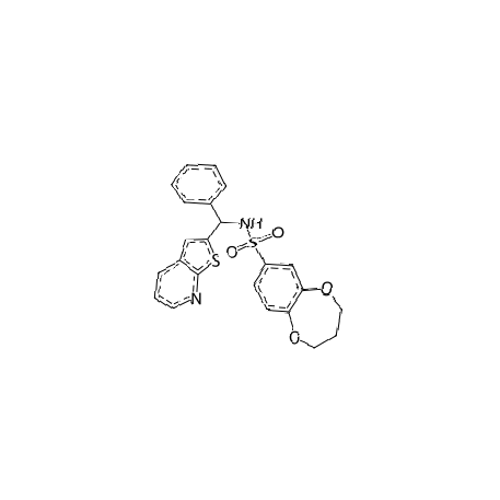 O=S(=O)(NC(c1ccccc1)c1cc2cccnc2s1)c1ccc2c(c1)OCCCO2